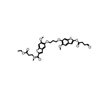 CCOC(=O)CCN(C)C(=O)c1cc2cc(OCCCOc3cc4sc(OC(=O)CCC=O)cc4cc3OC)c(OC)cc2s1